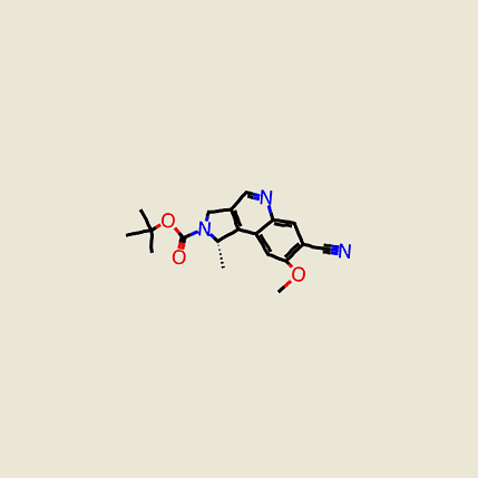 COc1cc2c3c(cnc2cc1C#N)CN(C(=O)OC(C)(C)C)[C@H]3C